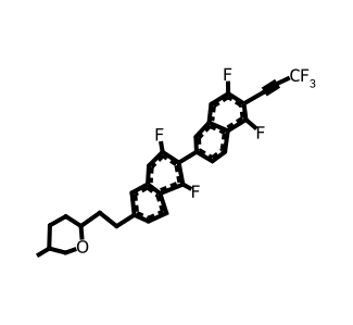 CC1CCC(CCc2ccc3c(F)c(-c4ccc5c(F)c(C#CC(F)(F)F)c(F)cc5c4)c(F)cc3c2)OC1